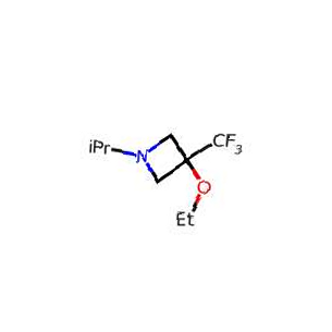 CCOC1(C(F)(F)F)CN(C(C)C)C1